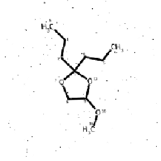 CCCC1(CCC)OCC(OC)O1